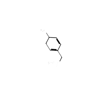 CCOC(=O)CC1=CCC(C#N)C=C1